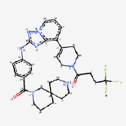 O=C(CCC(F)(F)F)N1CC=C(c2cccn3nc(Nc4ccc(C(=O)N5CCCC6(CCNCC6)C5)cc4)nc23)CC1